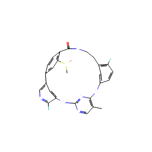 Cc1cnc2nc1Nc1ccc(F)c(c1)CCNC(=O)c1ccc(cc1[S+](C)[O-])-c1cnc(F)c(c1)N2